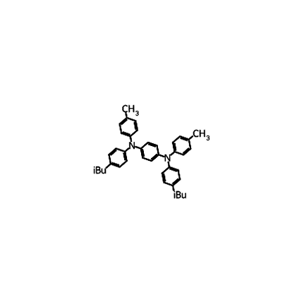 CCC(C)c1ccc(N(c2ccc(C)cc2)c2ccc(N(c3ccc(C)cc3)c3ccc(C(C)CC)cc3)cc2)cc1